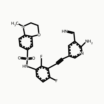 CN1CCOc2cc(S(=O)(=O)Nc3ccc(F)c(C#Cc4cnc(N)c(C=N)c4)c3F)ccc21